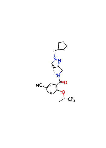 C[C@H](Oc1ccc(C#N)cc1C(=O)N1Cc2cn(CC3CCCC3)nc2C1)C(F)(F)F